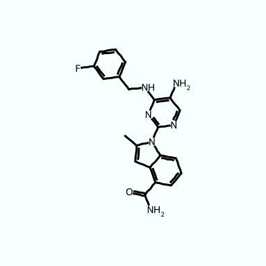 Cc1cc2c(C(N)=O)cccc2n1-c1ncc(N)c(NCc2cccc(F)c2)n1